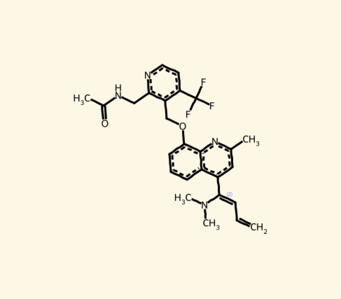 C=C/C=C(/c1cc(C)nc2c(OCc3c(C(F)(F)F)ccnc3CNC(C)=O)cccc12)N(C)C